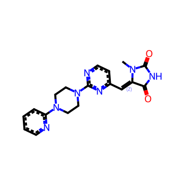 CN1C(=O)NC(=O)/C1=C/c1ccnc(N2CCN(c3ccccn3)CC2)n1